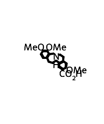 COc1cc2c(cc1C(=O)O)[C@@H]1CCc3ccc(OC)c(OC)c3CN1CC2